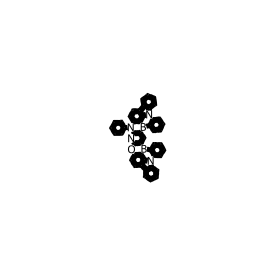 c1ccc(N2c3ccc4c5ccccc5n5c4c3B(c3ccccc3-5)c3cc4c(nc32)Oc2ccc3c5ccccc5n5c3c2B4c2ccccc2-5)cc1